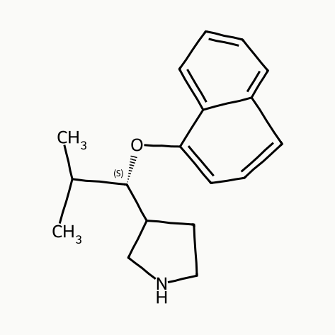 CC(C)[C@H](Oc1cccc2ccccc12)C1CCNC1